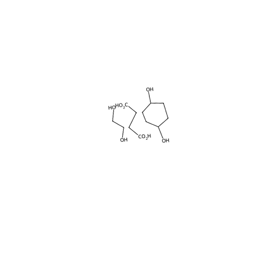 O=C(O)CCC(=O)O.OC1CCC(O)CC1.OCCO